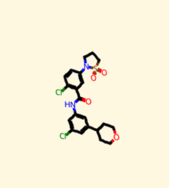 O=C(Nc1cc(Cl)cc(C2CCOCC2)c1)c1cc(N2CCCS2(=O)=O)ccc1Cl